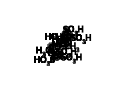 Cc1ccc(NC(=O)Nc2ccc(C)c(C(=O)Nc3cc(S(=O)(=O)O)cc4cc(S(=O)(=O)O)cc(S(=O)(=O)O)c34)c2)cc1C(=O)Nc1cc(S(=O)(=O)O)cc2cc(S(=O)(=O)O)cc(S(=O)(=O)O)c12